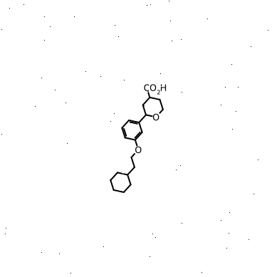 O=C(O)C1CCOC(c2cccc(OCCC3CCCCC3)c2)C1